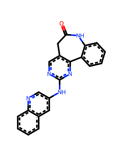 O=C1Cc2cnc(Nc3cnc4ccccc4c3)nc2-c2ccccc2N1